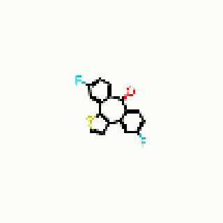 O=c1c2ccc(F)cc2c2ccsc2c2cc(F)ccc12